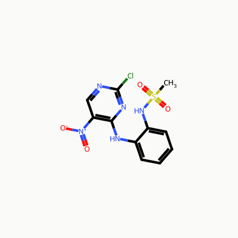 CS(=O)(=O)Nc1ccccc1Nc1nc(Cl)ncc1[N+](=O)[O-]